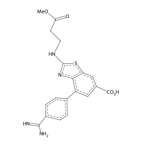 COC(=O)CCNc1nc2c(-c3ccc(C(=N)N)cc3)cc(C(=O)O)cc2s1